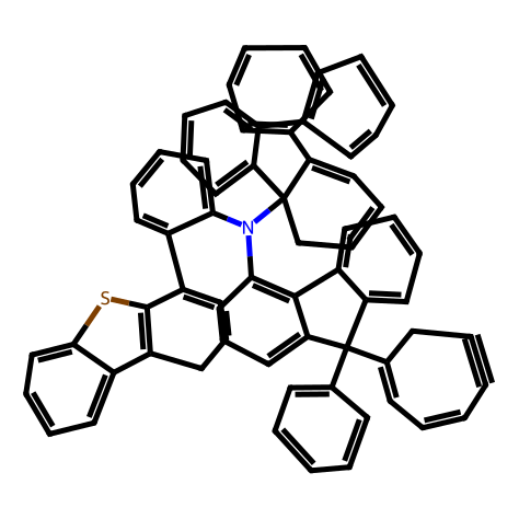 C1#CCC(C2(c3ccccc3)c3ccccc3-c3c(N(c4ccccc4C4=CCCc5c4sc4ccccc54)C4(c5ccccc5-c5ccccc5)CC=CC=C4c4ccccc4)cccc32)=CC=C1